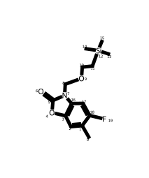 Cc1cc2oc(=O)n(COCC[Si](C)(C)C)c2cc1F